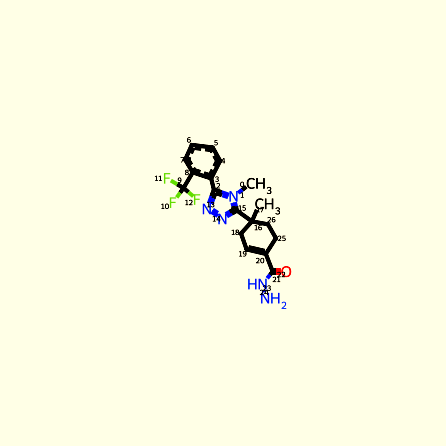 Cn1c(-c2ccccc2C(F)(F)F)nnc1C1(C)CC=C(C(=O)NN)CC1